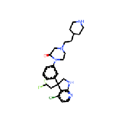 O=C1CN(CCC2CCNCC2)CCN1c1cccc(C2(CC(F)F)CNc3nccc(Cl)c32)c1